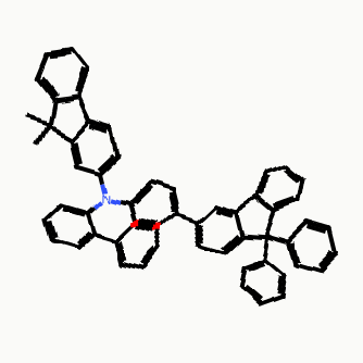 CC1(C)c2ccccc2-c2ccc(N(c3ccc(-c4ccc5c(c4)-c4ccccc4C5(c4ccccc4)c4ccccc4)cc3)c3ccccc3-c3ccccc3)cc21